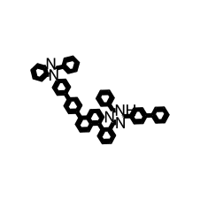 c1ccc(C2=NC(c3ccccc3-c3cccc4c(-c5ccc(-c6ccc(-n7c(-c8ccccc8)nc8ccccc87)cc6)cc5)cccc34)=NC(c3ccc(-c4ccccc4)cc3)N2)cc1